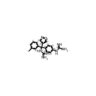 Cc1c[c]cc(C(NC(=N)N)(c2ccc(NC(=N)N)cc2)c2cnoc2)c1